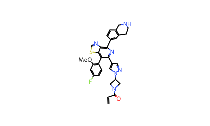 C=CC(=O)N1CC(n2cc(-c3nc(-c4ccc5c(c4)CCNC5)c4ncsc4c3-c3ccc(F)cc3OC)cn2)C1